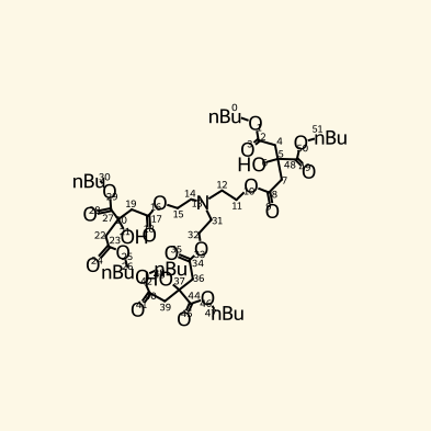 CCCCOC(=O)CC(O)(CC(=O)OCCN(CCOC(=O)CC(O)(CC(=O)OCCCC)C(=O)OCCCC)CCOC(=O)CC(O)(CC(=O)OCCCC)C(=O)OCCCC)C(=O)OCCCC